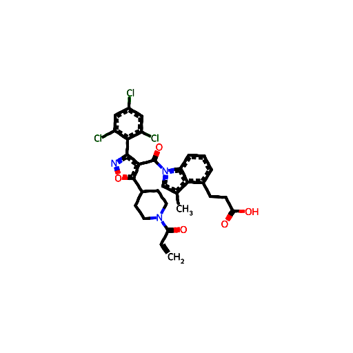 C=CC(=O)N1CCC(c2onc(-c3c(Cl)cc(Cl)cc3Cl)c2C(=O)n2cc(C)c3c(CCC(=O)O)cccc32)CC1